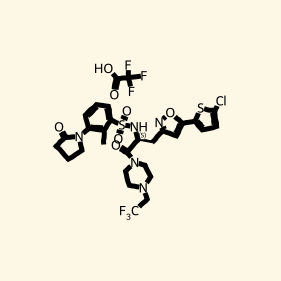 Cc1c(N2CCCC2=O)cccc1S(=O)(=O)N[C@@H](Cc1cc(-c2ccc(Cl)s2)on1)C(=O)N1CCN(CC(F)(F)F)CC1.O=C(O)C(F)(F)F